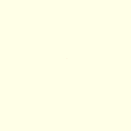 C=CCN(CC=C)CC(=O)c1cc(Br)ccc1F